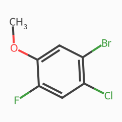 COc1cc(Br)c(Cl)cc1F